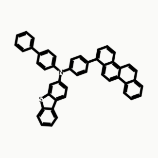 c1ccc(-c2ccc(N(c3ccc(-c4cccc5c4ccc4c6ccccc6ccc54)cc3)c3ccc4c(c3)sc3ccccc34)cc2)cc1